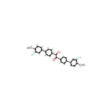 O=Cc1ccc(-c2ccc(C(=O)C(=O)c3ccc(-c4ccc(C=O)c(F)c4)cc3)cc2)cc1F